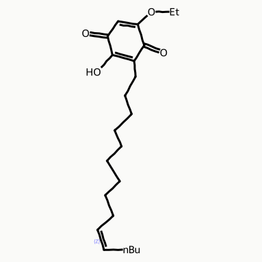 CCCC/C=C\CCCCCCCCCC1=C(O)C(=O)C=C(OCC)C1=O